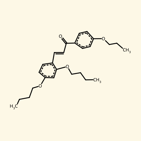 CCCCOc1ccc(C=CC(=O)c2ccc(OCCC)cc2)c(OCCCC)c1